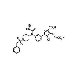 CCNC(=O)N(c1cccc(-c2sc(C(=O)O)c(OCC(=O)O)c2Cl)c1)C1CCN(S(=O)(=O)Cc2ccccc2)CC1